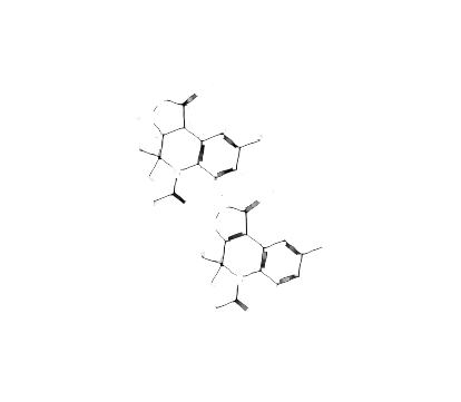 CC(=O)N1c2ccc(C)cc2-c2c(ssc2=S)C1(C)C.CC(=O)N1c2ccc(C)cc2C2C(=S)SSC2C1(C)C